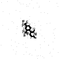 Cc1ccc(-c2ccc(C(F)(F)F)cc2C(F)(F)F)c(C)n1